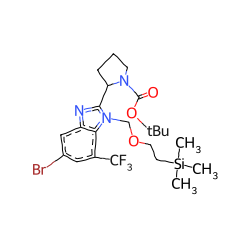 CC(C)(C)OC(=O)N1CCCC1c1nc2cc(Br)cc(C(F)(F)F)c2n1COCC[Si](C)(C)C